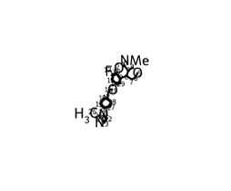 CNC(=O)C1COCCC1c1cc(F)cc(OCc2ccc(-n3ccnc3C)cc2)c1